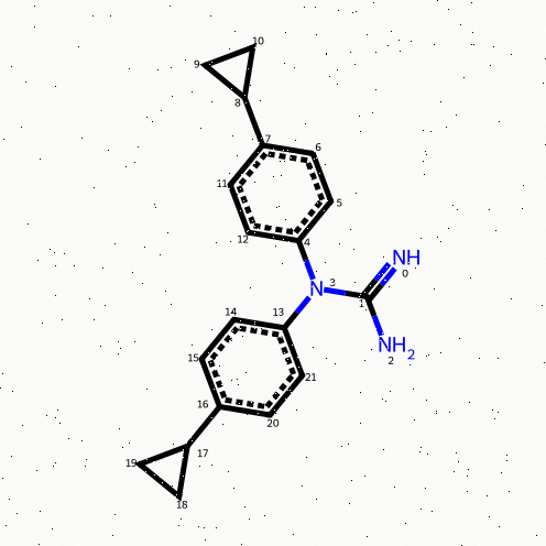 N=C(N)N(c1ccc(C2CC2)cc1)c1ccc(C2CC2)cc1